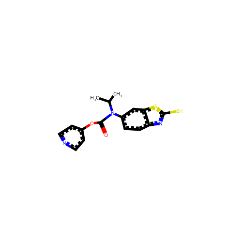 CC(C)N(C(=O)Oc1ccncc1)c1ccc2nc(S)sc2c1